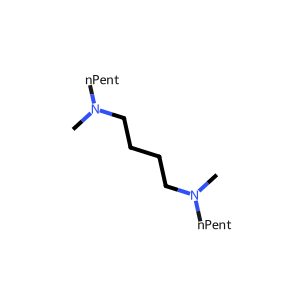 CCCCCN(C)CCCCN(C)CCCCC